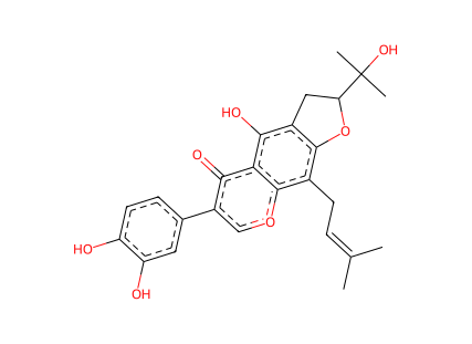 CC(C)=CCc1c2c(c(O)c3c(=O)c(-c4ccc(O)c(O)c4)coc13)CC(C(C)(C)O)O2